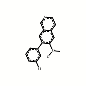 C[S+]([O-])c1cc2ccncc2cc1-c1cccc(Cl)c1